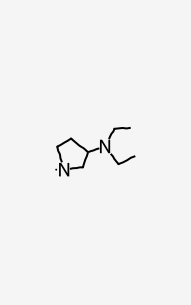 CCN(CC)C1CC[N]C1